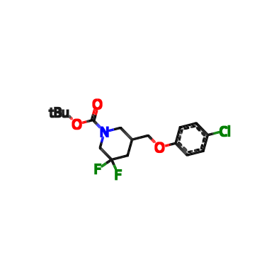 CC(C)(C)OC(=O)N1CC(COc2ccc(Cl)cc2)CC(F)(F)C1